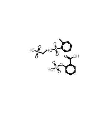 CCS(=O)(=O)O.Cc1ccccc1S(=O)(=O)O.O=C(O)c1ccccc1OS(=O)(=O)O